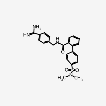 CN(C)S(=O)(=O)c1ccc(-c2ccccc2C(=O)NCc2ccc(C(=N)N)cc2)cc1